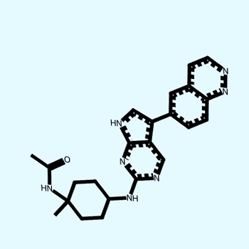 CC(=O)NC1(C)CCC(Nc2ncc3c(-c4ccc5nnccc5c4)c[nH]c3n2)CC1